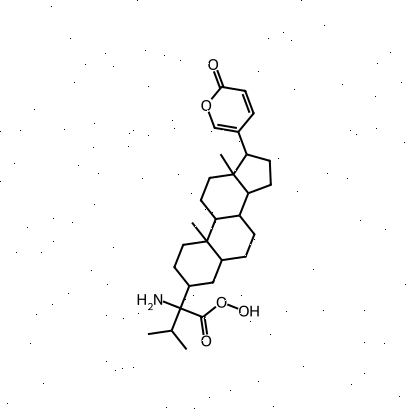 CC(C)C(N)(C(=O)OO)C1CCC2(C)C(CCC3C2CCC2(C)C(c4ccc(=O)oc4)CCC32)C1